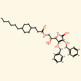 CCCCCCC1CCC(CCC(=O)OC[C@H](O)[C@H]2OC(=O)C(OCc3ccccc3)=C2OCc2ccccc2)CC1